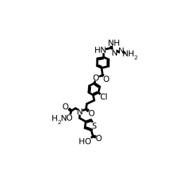 N=C(N=NN)Nc1ccc(C(=O)Oc2ccc(CCC(=O)N(CC(=O)ON)Cc3csc(C(=O)O)c3)c(Cl)c2)cc1